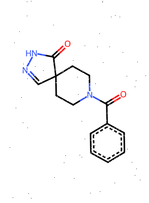 O=C(c1ccccc1)N1CCC2(C=NNC2=O)CC1